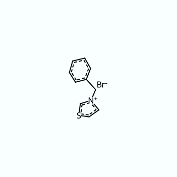 [Br-].c1ccc(C[n+]2ccsc2)cc1